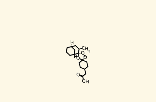 C[C@@H]1C[C@@H]2CCC[C@@H](C2)[C@@]12OOC1(CCC(CC(=O)O)CC1)O2